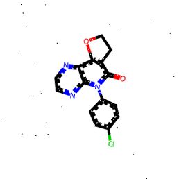 O=c1c2c(c3nccnc3n1-c1ccc(Cl)cc1)OCC2